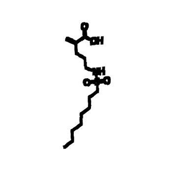 C=C(CCCNS(=O)(=O)CCCCCCCC)C(=O)O